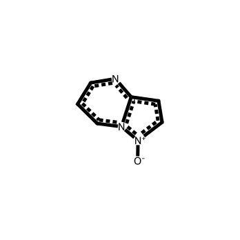 [O-][n+]1ccc2ncccn21